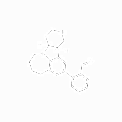 O=Cc1ccccc1-c1cc2c3c(c1)[C@@H]1CNCC[C@@H]1N3CCCC2